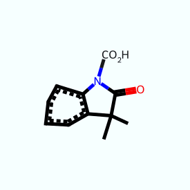 CC1(C)C(=O)N(C(=O)O)c2ccccc21